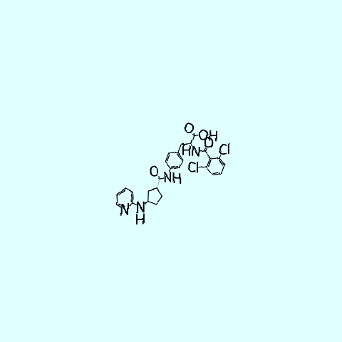 O=C(N[C@@H](Cc1ccc(NC(=O)[C@@H]2CC[C@@H](Nc3ccccn3)C2)cc1)C(=O)O)c1c(Cl)cccc1Cl